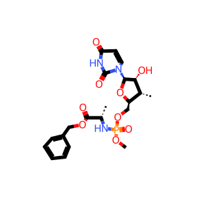 COP(=O)(N[C@@H](C)C(=O)OCc1ccccc1)OC[C@H]1O[C@@H](n2ccc(=O)[nH]c2=O)[C@H](O)[C@@H]1C